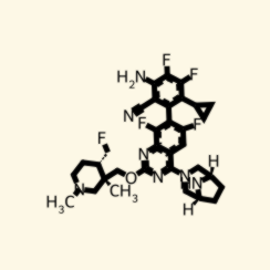 CN1CC[C@H](CF)[C@](C)(COc2nc(N3C[C@H]4CC[C@@H](C3)N4)c3cc(F)c(-c4c(C#N)c(N)c(F)c(F)c4C4CC4)c(F)c3n2)C1